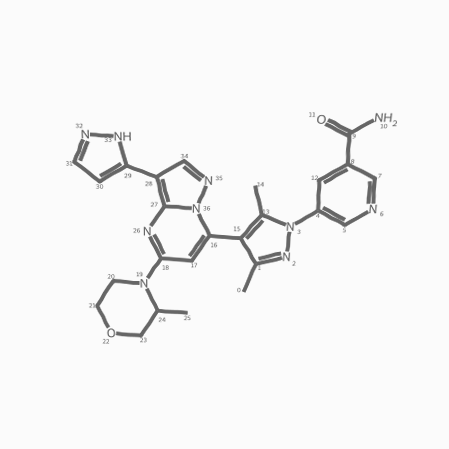 Cc1nn(-c2cncc(C(N)=O)c2)c(C)c1-c1cc(N2CCOCC2C)nc2c(-c3ccn[nH]3)cnn12